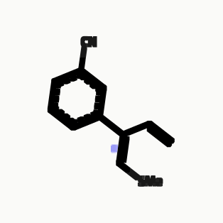 C=C/C(=C\SC)c1cccc(C#N)c1